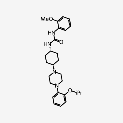 COc1ccccc1NC(=O)N[C@H]1CC[C@H](N2CCN(c3ccccc3OC(C)C)CC2)CC1